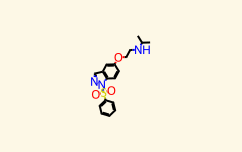 CC(C)NCCOc1ccc2c(cnn2S(=O)(=O)c2ccccc2)c1